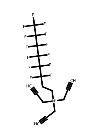 C#CC[N+](CC#C)(CC#C)CCC(F)(F)C(F)(F)C(F)(F)C(F)(F)C(F)(F)C(F)(F)F